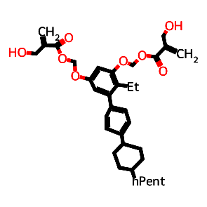 C=C(CO)C(=O)OCOc1cc(OCOC(=O)C(=C)CO)c(CC)c(-c2ccc(C3CCC(CCCCC)CC3)cc2)c1